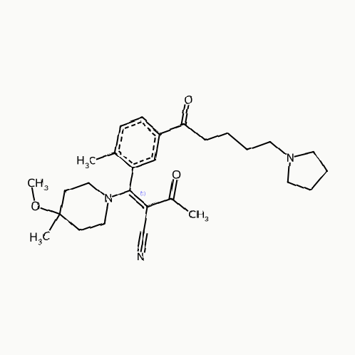 COC1(C)CCN(/C(=C(\C#N)C(C)=O)c2cc(C(=O)CCCCN3CCCC3)ccc2C)CC1